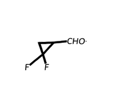 O=[C]C1CC1(F)F